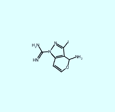 N=C(N)n1nc(I)c2c1C=COC2N